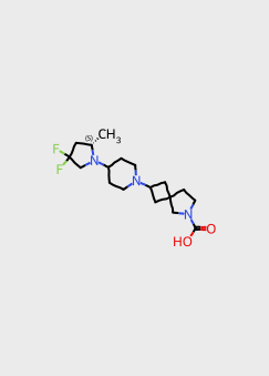 C[C@H]1CC(F)(F)CN1C1CCN(C2CC3(CCN(C(=O)O)C3)C2)CC1